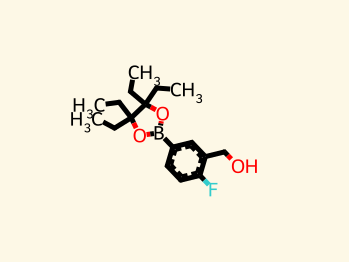 CCC1(CC)OB(c2ccc(F)c(CO)c2)OC1(CC)CC